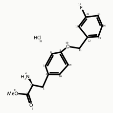 COC(=O)[C@@H](N)Cc1ccc(OCc2cccc(F)c2)cc1.Cl